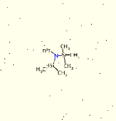 CCCN([SiH](C)C)[Si](C)(C)C